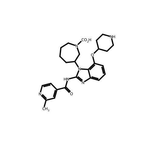 Cc1cc(C(=O)Nc2nc3cccc(OC4CCNCC4)c3n2C2CCCCN(C(=O)O)C2)ccn1